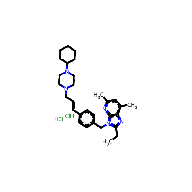 CCc1nc2c(C)cc(C)nc2n1Cc1ccc(C=CCN2CCN(C3CCCCC3)CC2)cc1.Cl.Cl